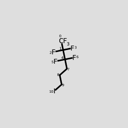 FC(F)(F)C(F)(F)C(F)(F)CCCI